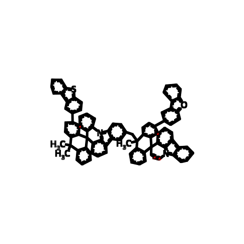 CC1(C)c2ccccc2C2(c3ccccc3-n3c4ccc(CC5(C)c6ccccc6C6(c7ccccc7-n7c8ccccc8c8cccc6c87)c6cc(-c7ccc8oc9ccccc9c8c7)ccc65)cc4c4cccc2c43)c2cc(-c3ccc4sc5ccccc5c4c3)ccc21